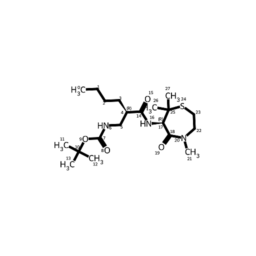 CCCC[C@H](CNC(=O)OC(C)(C)C)C(=O)N[C@@H]1C(=O)N(C)CCSC1(C)C